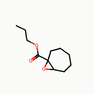 CCCOC(=O)C12CCCCCC1O2